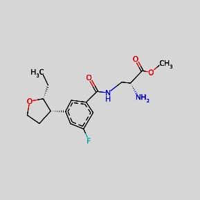 CC[C@H]1OCC[C@H]1c1cc(F)cc(C(=O)NC[C@@H](N)C(=O)OC)c1